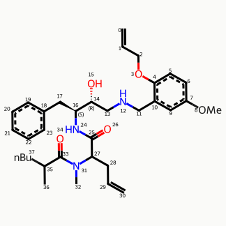 C=CCOc1ccc(OC)cc1CNC[C@@H](O)[C@H](Cc1ccccc1)NC(=O)C(CC=C)N(C)C(=O)C(C)CCCC